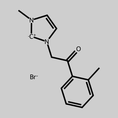 Cc1ccccc1C(=O)CN1[C+]N(C)C=C1.[Br-]